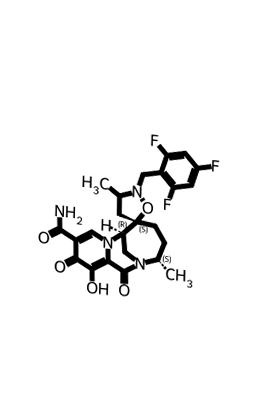 CC1C[C@]2(CC[C@H](C)N3C[C@H]2n2cc(C(N)=O)c(=O)c(O)c2C3=O)ON1Cc1c(F)cc(F)cc1F